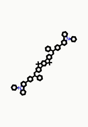 CC1(C)c2cc(/C=C(\c3ccccc3)c3ccc(-c4ccc5c(c4)c4ccccc4n5-c4ccccc4)cc3)ccc2-c2cc3c(cc21)-c1ccc(/C=C(\c2ccccc2)c2ccc(-c4ccc5c(c4)c4ccccc4n5-c4ccccc4)cc2)cc1C3(C)C